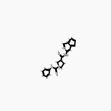 O=C(Nc1cc2ccccc2cn1)C1CCN(C(=O)Oc2ccccc2)C1